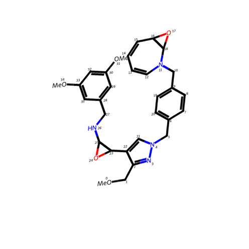 COCc1nn(Cc2ccc(CN3C=CC=CC4OC43)cc2)cc1C1OC1NCc1cc(OC)cc(OC)c1